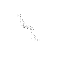 C=CC(=O)Nc1cccc(-c2ccc3cnc(Nc4ccc(N5CCN(CCO)CC5)c(F)c4F)cn23)c1